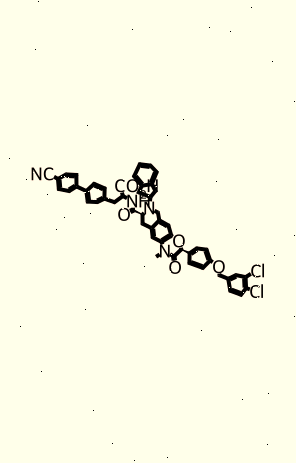 CN1C(=O)[C@H](c2ccc(OCc3ccc(Cl)c(Cl)c3)cc2)Oc2cc3c(cc21)C[C@@H](C(=O)NC(Cc1ccc(-c2ccc(C#N)cc2)cc1)C(=O)O)N(C1Cc2ccccc2C1)C3